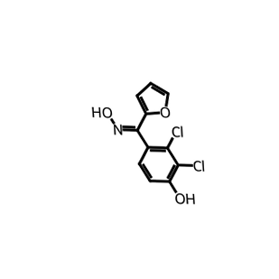 ON=C(c1ccco1)c1ccc(O)c(Cl)c1Cl